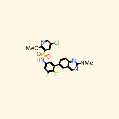 CNc1ncc2cc(-c3cc(NS(=O)(=O)c4cc(Cl)cnc4OC)cc(F)c3F)ccc2n1